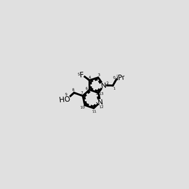 CC(C)Cn1cc(F)c2c(CO)ccnc21